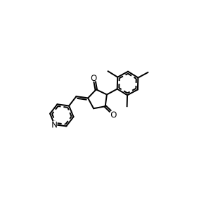 Cc1cc(C)c(C2C(=O)C/C(=C\c3ccncc3)C2=O)c(C)c1